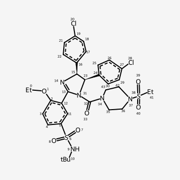 CCOc1ccc(S(=O)(=O)NC(C)(C)C)cc1C1=N[C@@H](c2ccc(Cl)cc2)[C@@H](c2ccc(Cl)cc2)N1C(=O)N1CCN(S(=O)(=O)CC)CC1